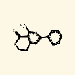 Nc1nc(-c2ccccc2)cc2c1C(=O)OCC2